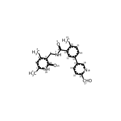 Cc1cc(C)c(CNC(=O)c2[c]c(-c3ccc(C=O)nc3)ccc2C)c(=O)[nH]1